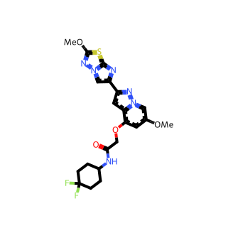 COc1cc(OCC(=O)NC2CCC(F)(F)CC2)c2cc(-c3cn4nc(OC)sc4n3)nn2c1